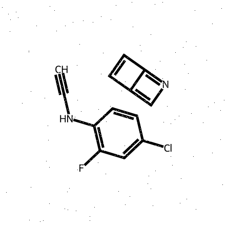 C#CNc1ccc(Cl)cc1F.c1cc2ncc1-2